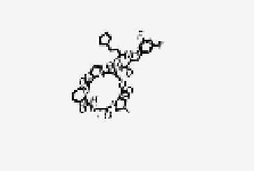 C[C@@H]1C[C@H]2C(=O)OC[C@H](NC(=O)[C@H](Cc3cc(F)cc(F)c3)NC(=O)CCC3CCCC3)C(=O)N3CCC[C@H]3C(=O)N3CCCC[C@H]3C(=O)N[C@@H](C)C(=O)N2C1